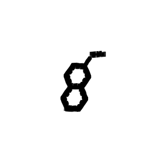 CC(=O)Nc1ccc2c[c]ccc2c1